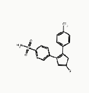 NS(=O)(=O)c1ccc(C2=C(c3ccc(C(F)(F)F)cc3)CC(F)C2)cn1